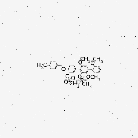 COc1ccccc1-c1cc(OC)c(-c2ccc(OCc3ccc(C)cc3)c(OS(C)(=O)=O)c2)c(OS(C)(=O)=O)c1OC